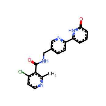 Cc1nccc(Cl)c1C(=O)NCc1ccc(-c2cccc(=O)[nH]2)nc1